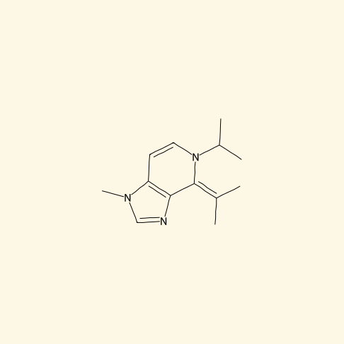 CC(C)=C1c2ncn(C)c2C=CN1C(C)C